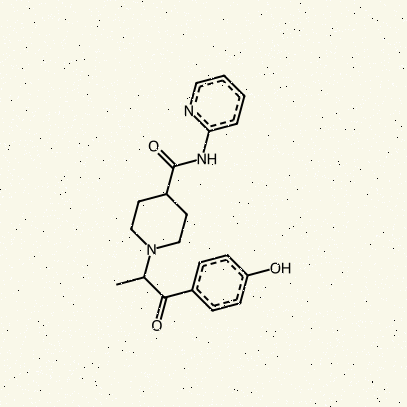 CC(C(=O)c1ccc(O)cc1)N1CCC(C(=O)Nc2ccccn2)CC1